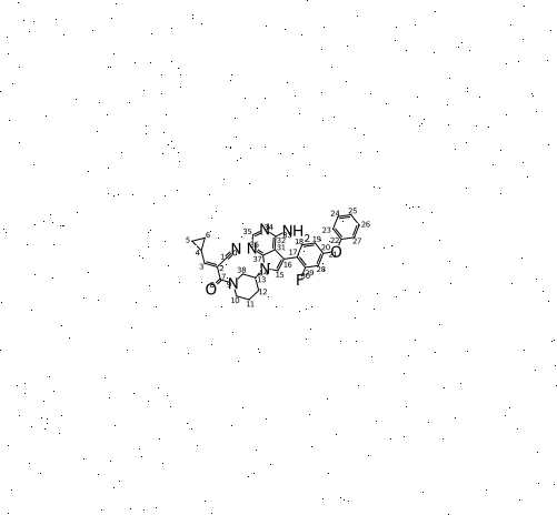 N#CC(=CC1CC1)C(=O)N1CCC[C@H](n2cc(-c3ccc(Oc4ccccc4)cc3F)c3c(N)ncnc32)C1